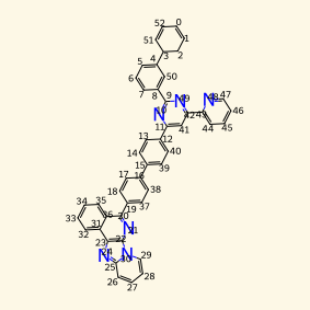 C1=CCC(c2cccc(-c3nc(-c4ccc(-c5ccc(-c6nc7c(nc8ccccn87)c7ccccc67)cc5)cc4)cc(-c4ccccn4)n3)c2)C=C1